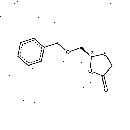 O=C1CS[C@H](COCc2ccccc2)O1